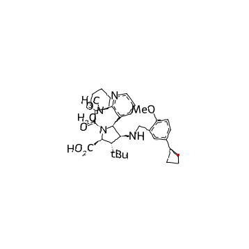 COc1ccc(C23CC(C2)C3)cc1CN[C@H]1[C@H](C(C)(C)C)[C@@H](C(=O)O)N(C(=O)[C@@H]2CCCCO2)[C@H]1c1cccnc1N(C)C